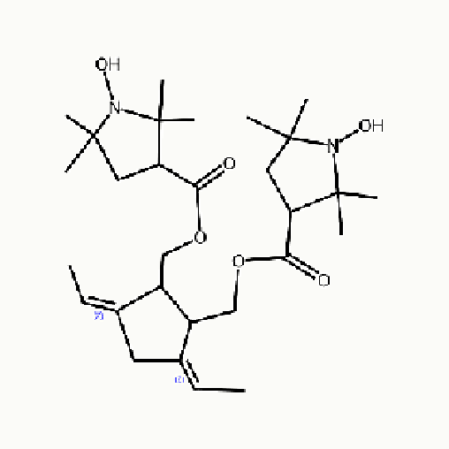 C/C=C1/C/C(=C/C)C(COC(=O)C2CC(C)(C)N(O)C2(C)C)C1COC(=O)C1CC(C)(C)N(O)C1(C)C